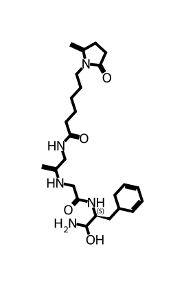 C=C(CNC(=O)CCCCCN1C(=C)CCC1=O)NCC(=O)N[C@@H](CC1C=CC=CC1)C(N)O